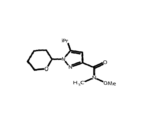 CON(C)C(=O)c1cc(C(C)C)n(C2CCCCO2)n1